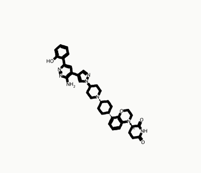 Nc1nnc(-c2ccccc2O)cc1-c1cnn(C2CCN([C@H]3CC[C@@H](c4cccc5c4OCCN5[C@@H]4CCC(=O)NC4=O)CC3)CC2)c1